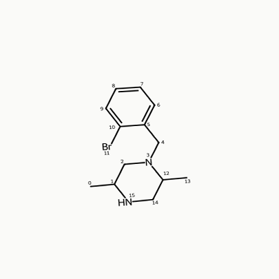 CC1CN(Cc2ccccc2Br)C(C)CN1